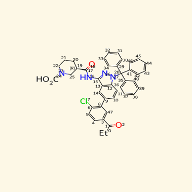 CCC(=O)c1ccc(Cl)c(-c2ccc3c(c2)c(NC(=O)[C@@H]2CCCN(C(=O)O)C2)nn3C(c2ccccc2)(c2ccccc2)c2ccccc2)c1